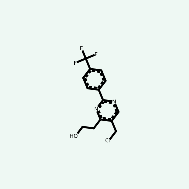 OCCc1nc(-c2ccc(C(F)(F)F)cc2)ncc1CCl